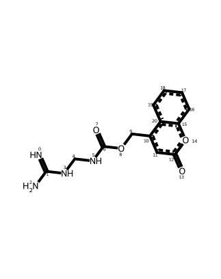 N=C(N)NCNC(=O)OCc1cc(=O)oc2ccccc12